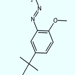 COc1ccc(C(C)(C)C)cc1N=NN